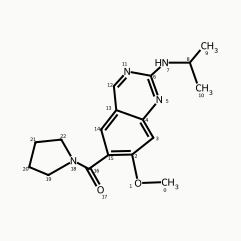 COc1cc2nc(NC(C)C)ncc2cc1C(=O)N1CCCC1